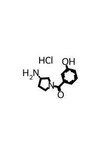 Cl.N[C@@H]1CCN(C(=O)c2cccc(O)c2)C1